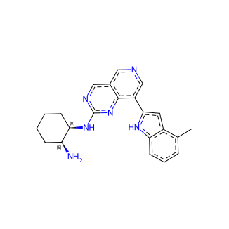 Cc1cccc2[nH]c(-c3cncc4cnc(N[C@@H]5CCCC[C@@H]5N)nc34)cc12